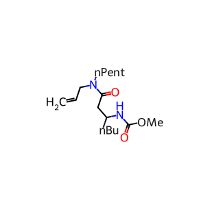 C=CCN(CCCCC)C(=O)CC(CCCC)NC(=O)OC